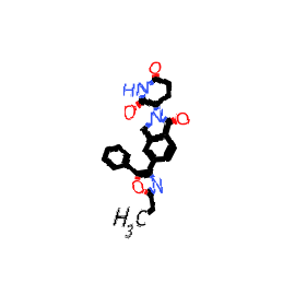 CCc1nc(-c2ccc3c(c2)CN(C2CCC(=O)NC2=O)C3=O)c(-c2ccccc2)o1